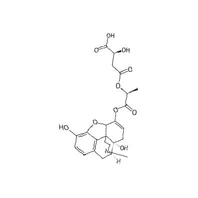 C[C@H](OC(=O)C[C@H](O)C(=O)O)C(=O)OC1=CC[C@@]2(O)[C@H]3Cc4ccc(O)c5c4C2(CCN3C)C1O5